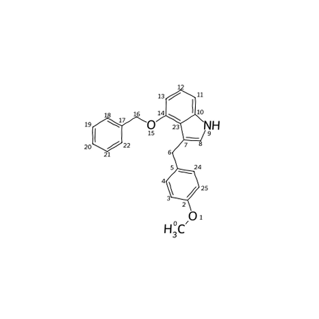 COc1ccc(Cc2c[nH]c3cccc(OCc4ccccc4)c23)cc1